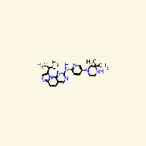 CC(C)c1cnc2ccc3cnc(Nc4ccc(N5CCNC(C)(C)C5)cn4)nc3n12